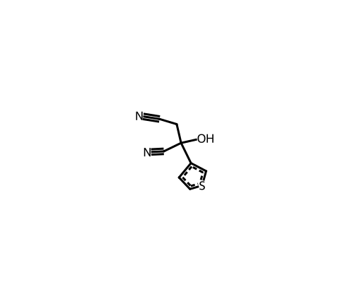 N#CCC(O)(C#N)c1ccsc1